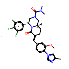 COc1cc(C=C2CC[C@H]3CN(C(=O)N(C)C)C[C@@H](c4cc(F)c(F)c(F)c4)N3C2=O)ccc1-n1cnc(C)c1